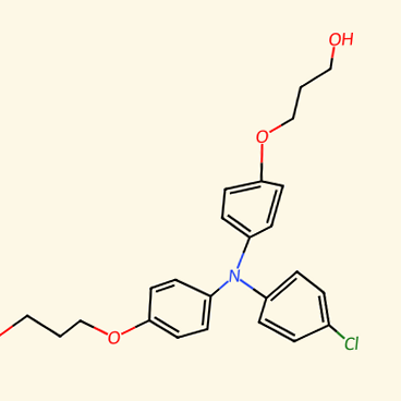 OCCCOc1ccc(N(c2ccc(Cl)cc2)c2ccc(OCCCO)cc2)cc1